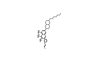 C/C=C/COc1cc2cc(C3CCC4CC(CCCCCCC)CCC4C3)cc(F)c2c(F)c1F